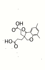 Cc1cc(C)c2c(c1)C(=O)C(CCC(=O)O)(CCC(=O)O)CO2